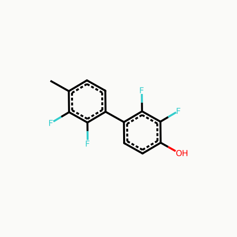 Cc1ccc(-c2ccc(O)c(F)c2F)c(F)c1F